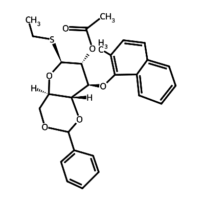 CCS[C@@H]1O[C@@H]2COC(c3ccccc3)O[C@H]2[C@H](Oc2c(C)ccc3ccccc23)[C@H]1OC(C)=O